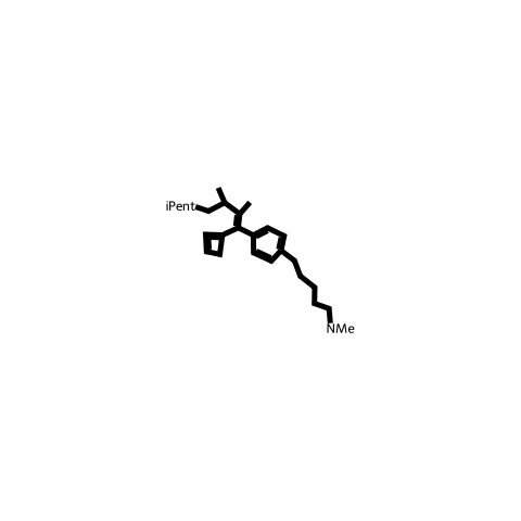 CCCC(C)CC(C)/C(C)=C(\C1=C=CC1)c1ccc(CCCCCNC)cc1